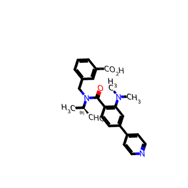 C[C@H](C=O)N(Cc1cccc(C(=O)O)c1)C(=O)c1ccc(-c2ccncc2)cc1N(C)C